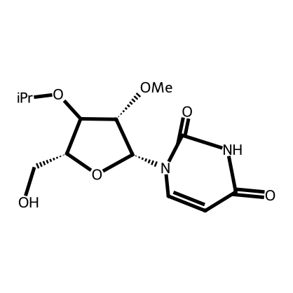 CO[C@H]1C(OC(C)C)[C@@H](CO)O[C@H]1n1ccc(=O)[nH]c1=O